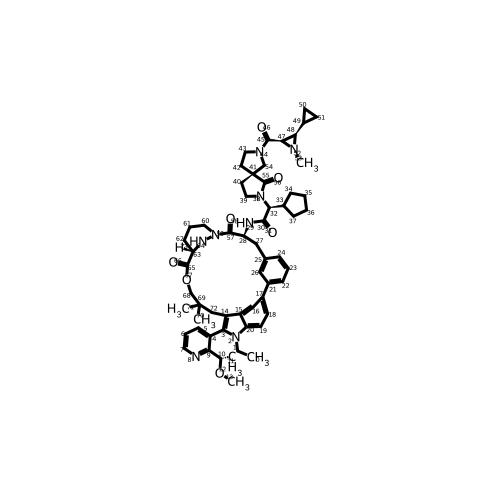 CCn1c(-c2cccnc2[C@H](C)OC)c2c3cc(ccc31)-c1cccc(c1)C[C@H](NC(=O)[C@H](C1CCCC1)N1CC[C@]3(CCN(C(=O)[C@H]4[C@@H](C5CC5)N4C)C3)C1=O)C(=O)N1CCC[C@H](N1)C(=O)OCC(C)(C)C2